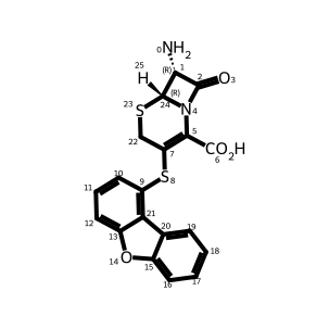 N[C@@H]1C(=O)N2C(C(=O)O)=C(Sc3cccc4oc5ccccc5c34)CS[C@H]12